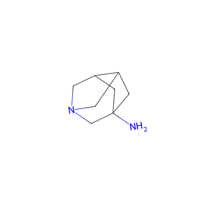 NC12CC3CN(CC3C1)C2